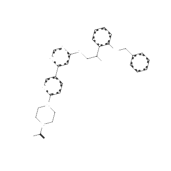 CC(=O)N1CCN(c2ccc(-c3cc(NCC(C)c4ccccc4OCc4ccccc4)ncn3)cn2)CC1